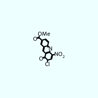 COC(=O)c1ccc2nc3c(cc2c1)C(=O)C(Cl)C=C3[N+](=O)[O-]